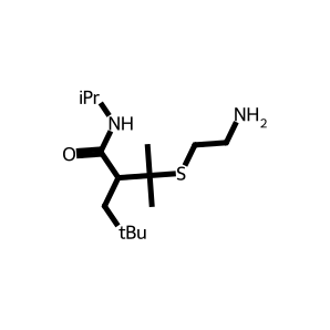 CC(C)NC(=O)C(CC(C)(C)C)C(C)(C)SCCN